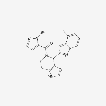 Cc1cccn2nc(C3c4nc[nH]c4CCN3C(=O)c3ccnn3C(C)C)cc12